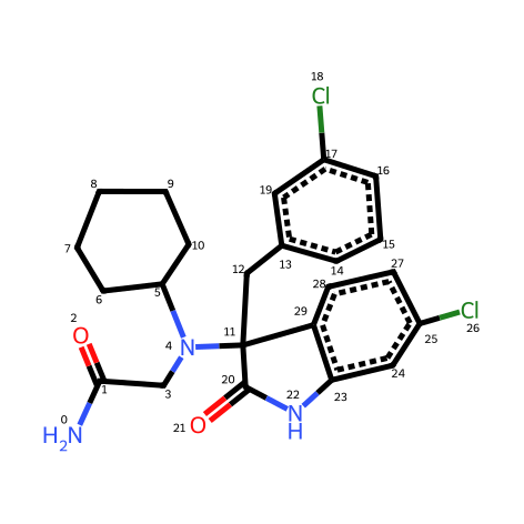 NC(=O)CN(C1CCCCC1)C1(Cc2cccc(Cl)c2)C(=O)Nc2cc(Cl)ccc21